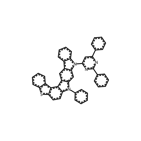 c1ccc(-c2cc(-n3c4ccccc4c4cc5c6c7c(ccc6n(-c6ccccc6)c5cc43)sc3ccccc37)nc(-c3ccccc3)n2)cc1